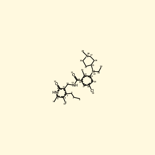 CCCc1c(F)c(C)[nH]c(=O)c1CNC(=O)c1cc(Cl)cc(N(CC)C2CCN(C)CC2)c1C